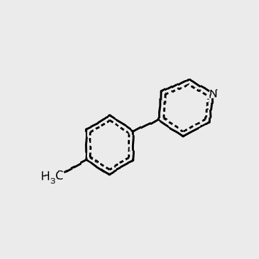 Cc1ccc(-c2ccncc2)cc1